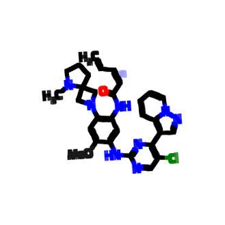 C=C/C=C\C(=O)Nc1cc(Nc2ncc(Cl)c(-c3cnn4ccccc34)n2)c(OC)cc1N1CC2(CCCN2C)C1